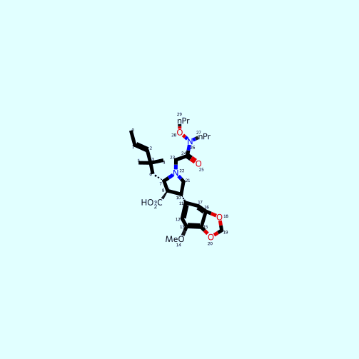 C/C=C/C(C)(C)C[C@H]1[C@H](C(=O)O)[C@@H](c2cc(OC)c3c(c2)OCO3)CN1CC(=O)N(CCC)OCCC